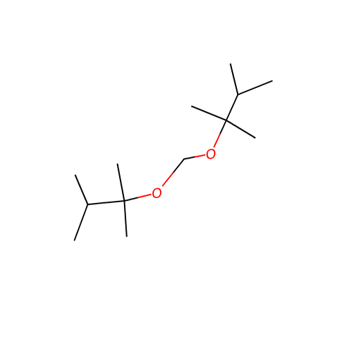 CC(C)C(C)(C)OCOC(C)(C)C(C)C